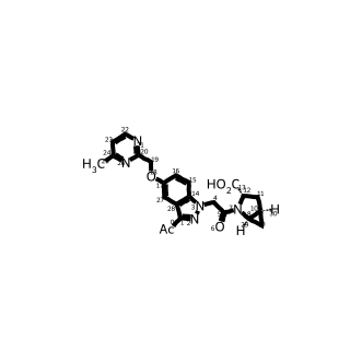 CC(=O)c1nn(CC(=O)N2[C@@H]3C[C@@H]3C[C@H]2C(=O)O)c2ccc(OCc3nccc(C)n3)cc12